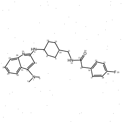 CN(C)c1cc(NC2CCC(CNC(=O)Cc3ccc(F)cc3)CC2)nc2ccccc12